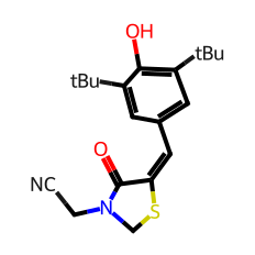 CC(C)(C)c1cc(C=C2SCN(CC#N)C2=O)cc(C(C)(C)C)c1O